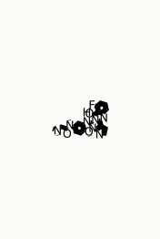 COc1ccc(N(C)C(=O)CN(C)C)cc1Nc1nc2c(ccn2C)c2nc3cccc(F)c3c(=O)n12